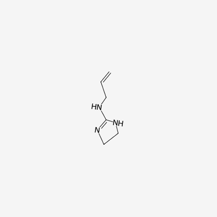 C=CCNC1=NCCN1